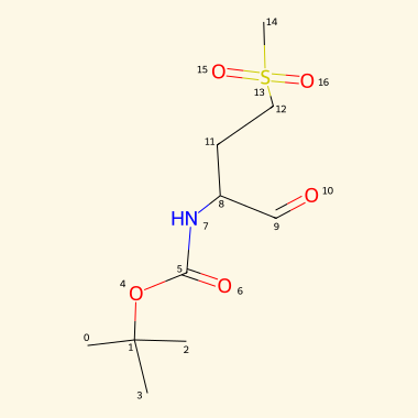 CC(C)(C)OC(=O)NC(C=O)CCS(C)(=O)=O